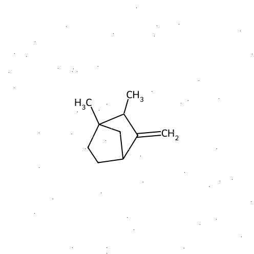 C=C1C2CCC(C)(C2)C1C